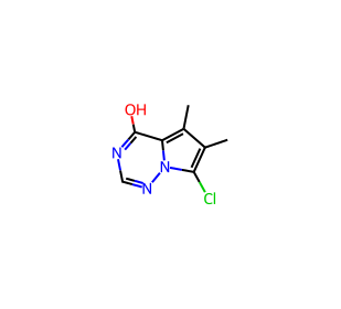 Cc1c(C)c2c(O)ncnn2c1Cl